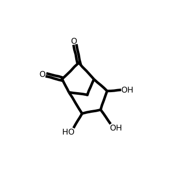 O=C1C(=O)C2CC1C(O)C(O)C2O